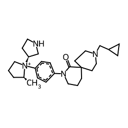 C[C@H]1CCC[N+]1(c1ccc(N2CCCC3(CCN(CC4CC4)CC3)C2=O)cc1)[C@H]1CCNC1